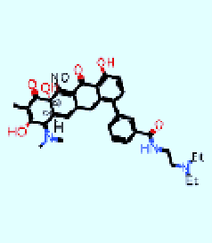 CCN(CC)CCNC(=O)c1cccc(-c2ccc(O)c3c2CC2C[C@H]4C(N(C)C)C(O)=C(C)C(=O)[C@@]4(O)C(N=O)=C2C3=O)c1